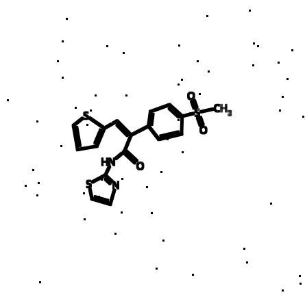 CS(=O)(=O)c1ccc(C(=Cc2cccs2)C(=O)Nc2nccs2)cc1